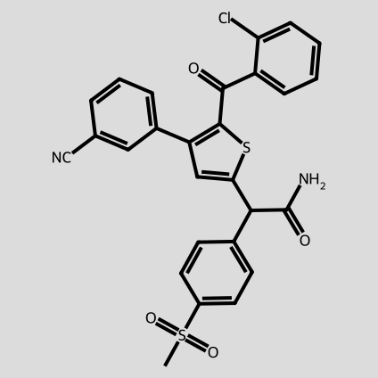 CS(=O)(=O)c1ccc(C(C(N)=O)c2cc(-c3cccc(C#N)c3)c(C(=O)c3ccccc3Cl)s2)cc1